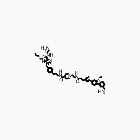 CCCSc1nc(NCCN)c2nnn(Cc3ccc(CCCNC(=O)C4CCN(CCNC(=O)CCc5csc(-c6ccc7c8cc(CNC)ccc8n(CC)c7c6)c5)CC4)cc3)c2n1